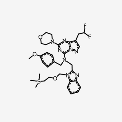 COc1ccc(CN(Cc2nc3ccccc3n2COCCS(C)(C)C)c2nc(N3CCOCC3)nc3c(CC(F)F)cnn23)cc1